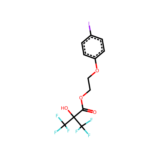 O=C(OCCOc1ccc(I)cc1)C(O)(C(F)(F)F)C(F)(F)F